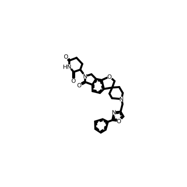 O=C1CCC(N2Cc3c(ccc4c3OCC43CCN(Cc4coc(-c5ccccc5)n4)CC3)C2=O)C(=O)N1